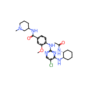 COc1cc(C(=O)NC2CCCN(C)C2)ccc1Nc1ncc(Cl)c(N[C@@H]2CCCC[C@H]2NC(C)=O)n1